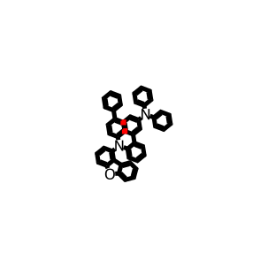 c1ccc(-c2ccc(N(c3ccccc3-c3cccc(N(c4ccccc4)c4ccccc4)c3)c3cccc4oc5ccccc5c34)cc2)cc1